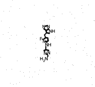 NCc1ncc(CNc2ccc(Cc3c[nH]c4ncncc34)c(F)n2)cn1